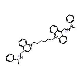 CN(/N=C/c1cc[n+](CCCCCC[n+]2c3ccccc3c(/C=N/N(C)c3ccccc3)c3ccccc32)c2ccccc12)c1ccccc1